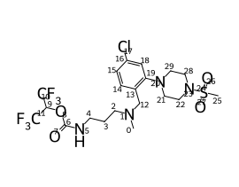 CN(CCCNC(=O)OC(C(F)(F)F)C(F)(F)F)Cc1ccc(Cl)cc1N1CCN(S(C)(=O)=O)CC1